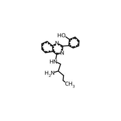 CCCC(N)CNc1nc(-c2ccccc2O)nc2ccccc12